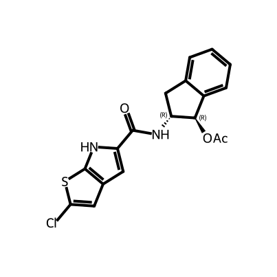 CC(=O)O[C@@H]1c2ccccc2C[C@H]1NC(=O)c1cc2cc(Cl)sc2[nH]1